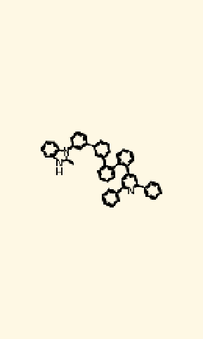 CC1Nc2ccccc2N1c1cccc(-c2cccc(-c3ccccc3-c3ccccc3-c3cc(-c4ccccc4)nc(-c4ccccc4)c3)c2)c1